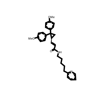 COc1ccc(C2(c3ccc(OC)cc3)C[C@H]2/C=C/C(=O)NCCCCCc2ccccn2)cc1